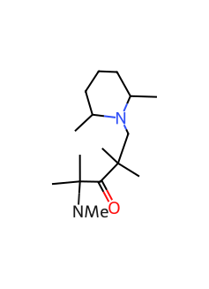 CNC(C)(C)C(=O)C(C)(C)CN1C(C)CCCC1C